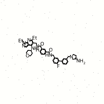 CCc1nc2c(cnn2CC)c(NC2CCOCC2)c1CNC(=O)c1cccc(C(=O)NCc2ccc(F)c(-c3cccc(CN4CC[C@H](N)C4)c3)c2)c1